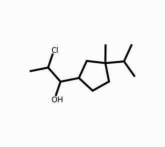 CC(Cl)C(O)C1CCC(C)(C(C)C)C1